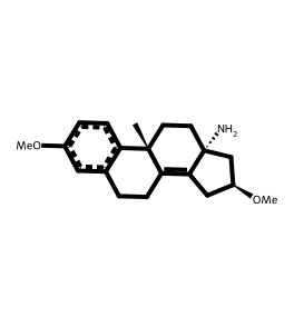 COc1ccc2c(c1)CCC1=C3C[C@H](OC)C[C@]3(N)CC[C@]12C